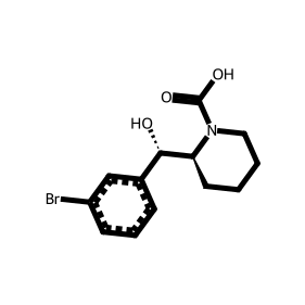 O=C(O)N1CCCC[C@H]1[C@@H](O)c1cccc(Br)c1